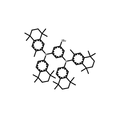 Cc1cc2c(cc1N(c1cc(N(c3ccc4c(c3)C(C)(C)CCC4(C)C)c3cc4c(cc3C)C(C)(C)CCC4(C)C)cc(C(C)(C)C)c1)c1ccc3c(c1)C(C)(C)CCC3(C)C)C(C)(C)CCC2(C)C